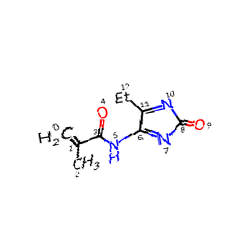 C=C(C)C(=O)NC1=NC(=O)N=C1CC